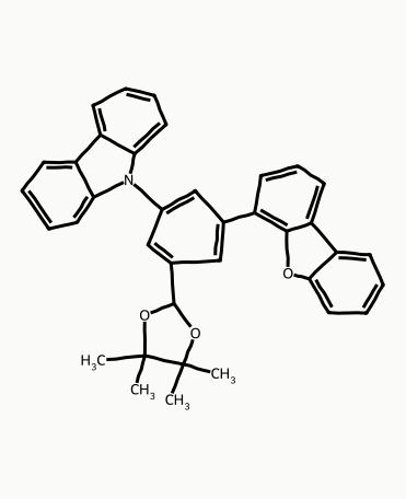 CC1(C)OC(c2cc(-c3cccc4c3oc3ccccc34)cc(-n3c4ccccc4c4ccccc43)c2)OC1(C)C